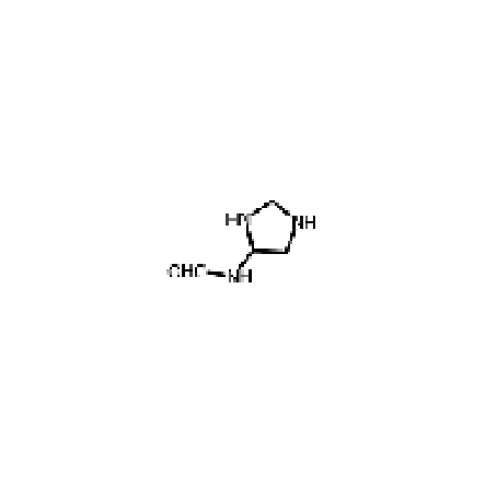 O=CNC1CNCN1